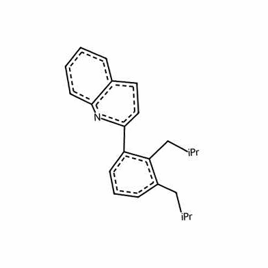 CC(C)Cc1cccc(-c2ccc3ccccc3n2)c1CC(C)C